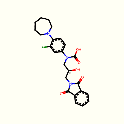 O=C1c2ccccc2C(=O)N1C[C@H](O)CN(C(=O)O)c1ccc(N2CCCCCC2)c(F)c1